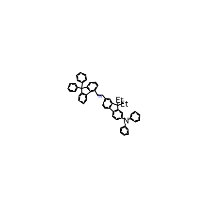 CCC1(CC)c2cc(/C=C/c3cccc4c3-c3ccccc3C4(c3ccccc3)c3ccccc3)ccc2-c2ccc(N(c3ccccc3)c3ccccc3)cc21